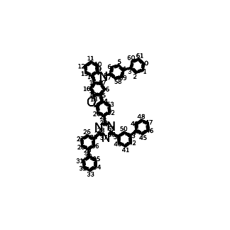 c1ccc(-c2ccc(-n3c4ccccc4c4cc5oc6cc(-c7nc(-c8cccc(-c9ccccc9)c8)nc(-c8cccc(-c9ccccc9)c8)n7)ccc6c5cc43)cc2)cc1